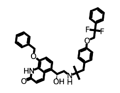 CC(C)(Cc1ccc(OCC(F)(F)c2ccccc2)cc1)NC[C@H](O)c1ccc(OCc2ccccc2)c2[nH]c(=O)ccc12